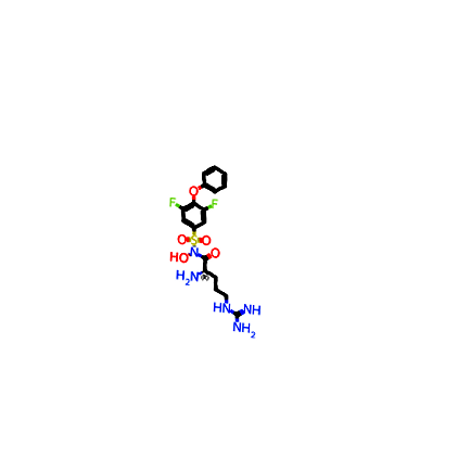 N=C(N)NCCC[C@@H](N)C(=O)N(O)S(=O)(=O)c1cc(F)c(Oc2ccccc2)c(F)c1